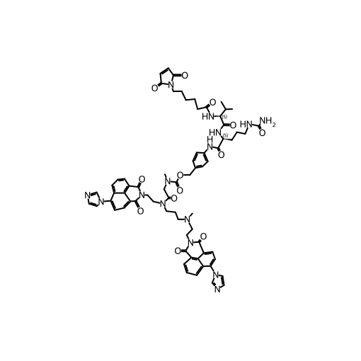 CC(C)[C@H](NC(=O)CCCCCN1C(=O)C=CC1=O)C(=O)N[C@@H](CCCNC(N)=O)C(=O)Nc1ccc(COC(=O)N(C)CC(=O)N(CCCN(C)CCN2C(=O)c3cccc4c(-n5ccnc5)ccc(c34)C2=O)CCN2C(=O)c3cccc4c(-n5ccnc5)ccc(c34)C2=O)cc1